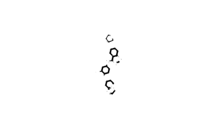 Cc1cc(Nc2ncnc3ccc(O[C@@H]4CCOC4)cc23)ccc1Oc1ccn2ccnc2c1